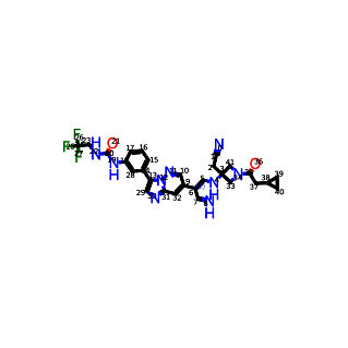 N#CCC1(N/C=C(\C=N)c2cnn3c(-c4cccc(NC(=O)NCC(F)(F)F)c4)cnc3c2)CN(C(=O)CC2CC2)C1